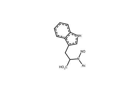 CC(=O)N(N=O)C(Cc1c[nH]c2ccccc12)C(=O)O